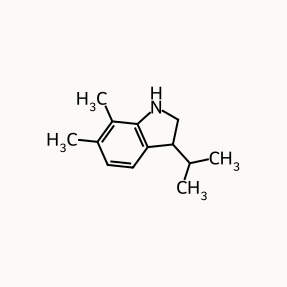 Cc1ccc2c(c1C)NCC2C(C)C